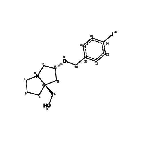 OC[C@@]12CCCN1C[C@H](OCc1ccc(I)cc1)C2